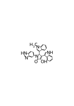 Cn1cc(C2C(c3c[nH]c4ccccc34)=C(O)C(=O)N2c2ccc3[nH]cnc3c2)c2ccccc21